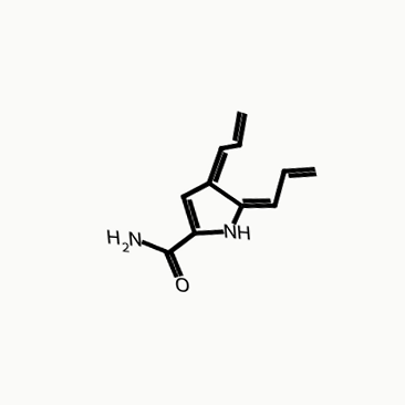 C=C/C=c1/cc(C(N)=O)[nH]/c1=C/C=C